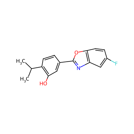 CC(C)c1ccc(-c2nc3cc(F)ccc3o2)cc1O